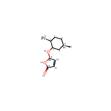 CC(C)C1CC[C@@H](C)CC1O[C@H]1C=CC(=O)O1